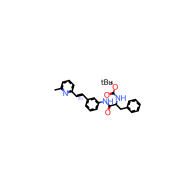 Cc1cccc(/C=C/c2cccc(NC(=O)C(Cc3ccccc3)NC(=O)OC(C)(C)C)c2)n1